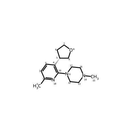 Cc1ccc([C@@H]2CCOC2)c(N2CCN(C)CC2)n1